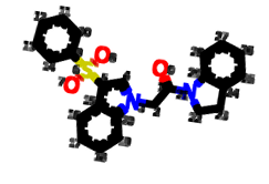 O=C(Cn1cc(S(=O)(=O)c2ccccc2)c2ccccc21)N1CCc2ccccc21